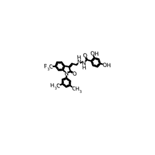 Cc1cc(C)cc(N2C(=O)C(=CCNNC(=O)c3ccc(O)cc3O)c3ccc(C(F)(F)F)cc32)c1